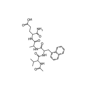 CC(=O)NC(C(=O)NC(Cc1cccc2ccccc12)C(=O)NC(C)C(=O)NC(CCC(=O)O)C(N)=O)C(C)C